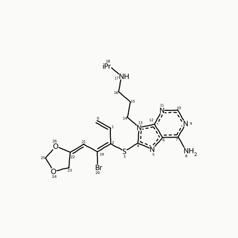 C=C/C(Sc1nc2c(N)ncnc2n1CCCNC(C)C)=C(Br)\C=C1/COCO1